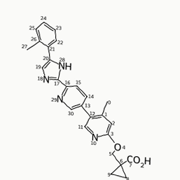 Cc1cc(OCC2(C(=O)O)CC2)ncc1-c1ccc(-c2ncc(-c3ccccc3C)[nH]2)nc1